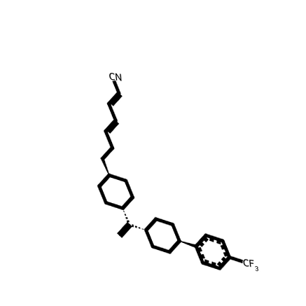 C=C([C@H]1CC[C@H](CC/C=C/C=C/C#N)CC1)[C@H]1CC[C@H](c2ccc(C(F)(F)F)cc2)CC1